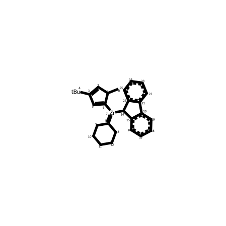 CC1C=C(C(C)(C)C)C=[C]1[Zr](=[C]1CCCCC1)[CH]1c2ccccc2-c2ccccc21